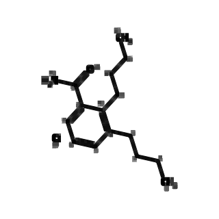 CCCCc1cccc(C(N)=O)c1CCCC.[C]